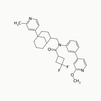 COc1cc(-c2cccc(N(CC3CCC4(c5ccnc(C)c5)CCCC3C4)C(=O)C3CC(F)(F)C3)c2)ccn1